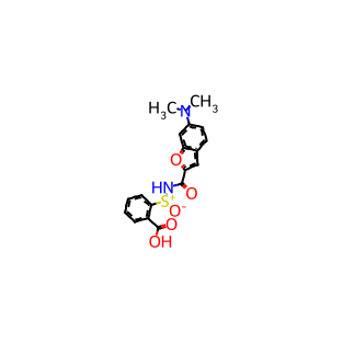 CN(C)c1ccc2cc(C(=O)N[S+]([O-])c3ccccc3C(=O)O)oc2c1